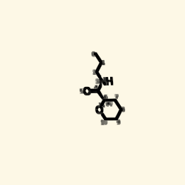 CCCNC(=O)[C@H]1CCCCO1